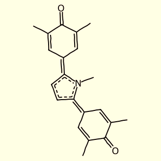 CC1=CC(=c2ccc(=C3C=C(C)C(=O)C(C)=C3)n2C)C=C(C)C1=O